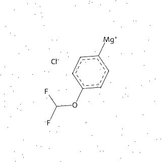 FC(F)Oc1cc[c]([Mg+])cc1.[Cl-]